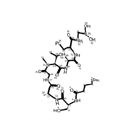 CCCCCCCCCCCCCC(=O)N[C@H](CO)C(=O)N[C@H](C)C(=O)NCC(=O)N(C)[C@H](C(=O)N[C@@H](C)C(=O)NC(CC(C)C)C(=O)NCB(O)O)C(C)O